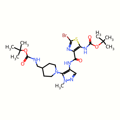 Cn1ncc(NC(=O)c2nc(Br)sc2NC(=O)OC(C)(C)C)c1N1CCC(CNC(=O)OC(C)(C)C)CC1